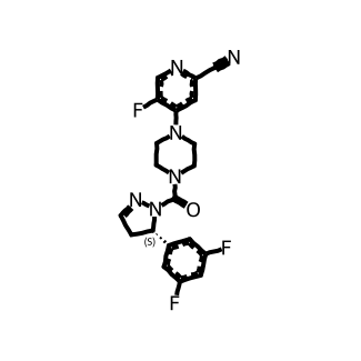 N#Cc1cc(N2CCN(C(=O)N3N=CC[C@H]3c3cc(F)cc(F)c3)CC2)c(F)cn1